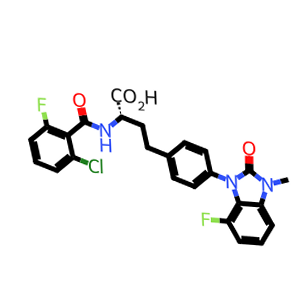 Cn1c(=O)n(-c2ccc(CC[C@H](NC(=O)c3c(F)cccc3Cl)C(=O)O)cc2)c2c(F)cccc21